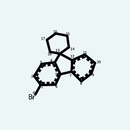 Brc1ccc2c(c1)-c1ccccc1C21CCCCC1